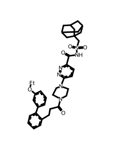 CCOc1cccc(-c2ccccc2CCC(=O)N2CCN(c3ccc(C(=O)NS(=O)(=O)CC45CC6CC(CC(C6)C4)C5)nn3)CC2)c1